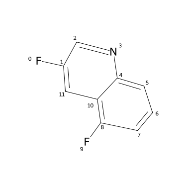 Fc1cnc2cccc(F)c2c1